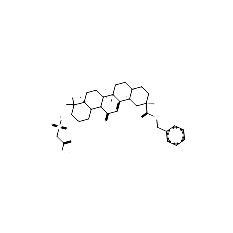 COC(=O)CS(=O)(=O)N[C@H]1CC[C@]2(C)C3C(=O)C=C4[C@@H]5C[C@@](C)(C(=O)OCc6ccccc6)CC[C@]5(C)CC[C@@]4(C)[C@]3(C)CC[C@H]2C1(C)C